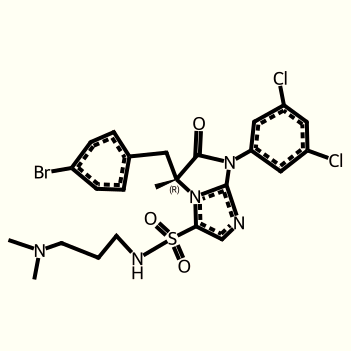 CN(C)CCCNS(=O)(=O)c1cnc2n1[C@](C)(Cc1ccc(Br)cc1)C(=O)N2c1cc(Cl)cc(Cl)c1